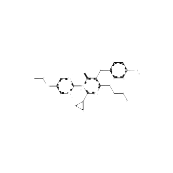 CCCCc1nc(C2CC2)n(-c2ncc(OCC)cn2)c(=O)c1Cc1ccc(Br)cc1